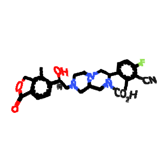 Cc1c(C2CN3CCN(C[C@H](O)c4ccc5c(c4C)COC5=O)CC3CN2C(=O)O)ccc(F)c1C#N